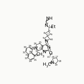 CCC(N=C=N)C1CC2(C1)CN(c1nc(OC[C@@H]3CCCN3C)nc3c1CCN(c1cccc4cccc(C)c14)C3)C2